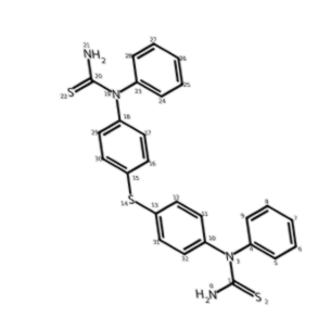 NC(=S)N(c1ccccc1)c1ccc(Sc2ccc(N(C(N)=S)c3ccccc3)cc2)cc1